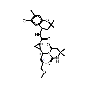 COC/C=C/[C@@H](C1C[C@H]1C(=O)NC1CC(C)(C)Oc2cc(C)c(Cl)cc21)N1C(=N)NC(C)(C)CC1=O